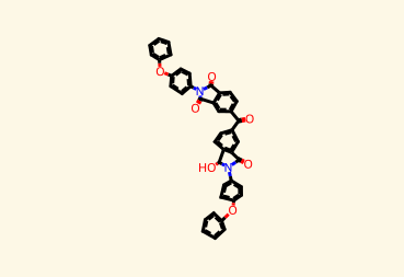 O=C(c1ccc2c(c1)C(=O)N(c1ccc(Oc3ccccc3)cc1)C2=O)c1ccc2c(c1)C(=O)N(c1ccc(Oc3ccccc3)cc1)C2O